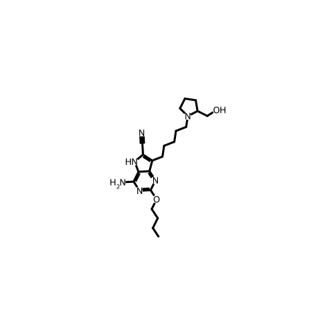 CCCCOc1nc(N)c2[nH]c(C#N)c(CCCCCN3CCCC3CO)c2n1